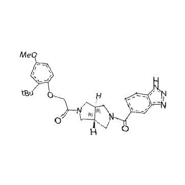 COc1ccc(OCC(=O)N2C[C@H]3CN(C(=O)c4ccc5[nH]nnc5c4)C[C@@H]3C2)c(C(C)(C)C)c1